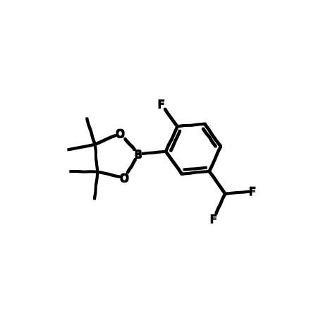 CC1(C)OB(c2cc(C(F)F)ccc2F)OC1(C)C